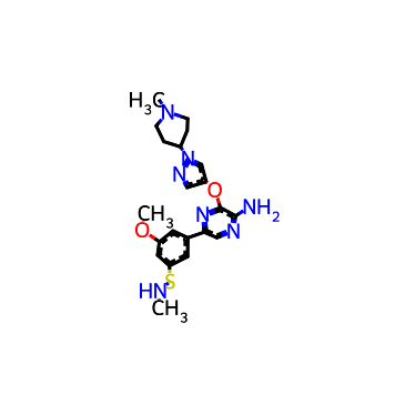 CNSc1cc(OC)cc(-c2cnc(N)c(Oc3cnn(C4CCN(C)CC4)c3)n2)c1